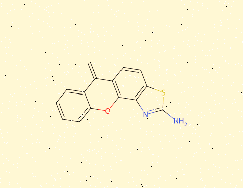 C=C1c2ccccc2Oc2c1ccc1sc(N)nc21